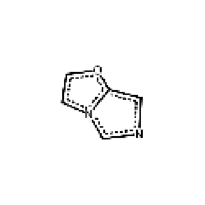 c1cn2cncc2o1